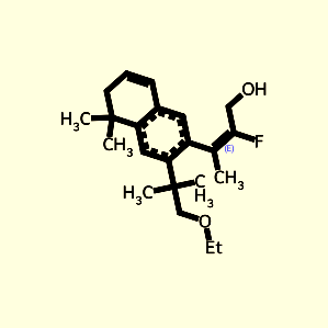 CCOCC(C)(C)c1cc2c(cc1/C(C)=C(/F)CO)C=CCC2(C)C